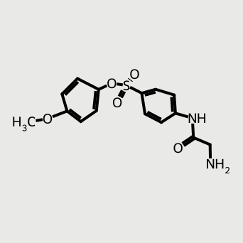 COc1ccc(OS(=O)(=O)c2ccc(NC(=O)CN)cc2)cc1